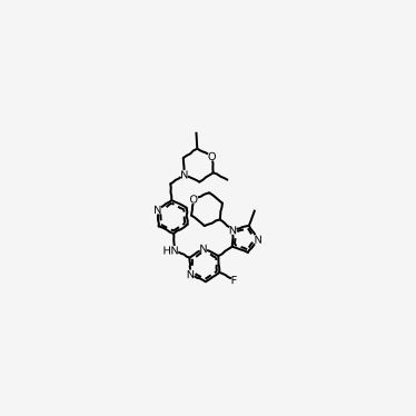 Cc1ncc(-c2nc(Nc3ccc(CN4CC(C)OC(C)C4)nc3)ncc2F)n1C1CCOCC1